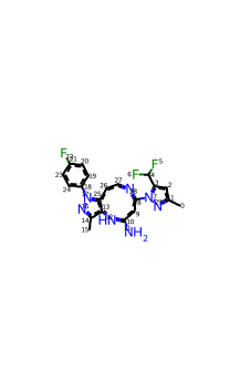 Cc1cc(C(F)F)n(-c2cc(N)[nH]c3c(C)nn(-c4ccc(F)cc4)c3ccn2)n1